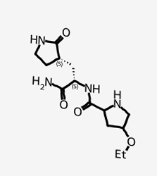 CCOC1CNC(C(=O)N[C@@H](C[C@@H]2CCNC2=O)C(N)=O)C1